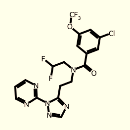 O=C(c1cc(Cl)cc(OC(F)(F)F)c1)N(CCc1ncnn1-c1ncccn1)CC(F)F